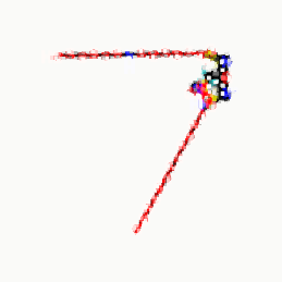 COCCOCCOCCOCCOCCOCCOCCOCCOCCOCCOCCOCCNS(=O)(=O)C1=CC2C(S1)c1cc3c(cc1=[N+](C)C2(C)C)Oc1cc2c(cc1C=3c1c(C)c(F)c(F)c(SCC(=O)ON3C(=O)CCC3=O)c1F)C1SC(S(=O)(=O)COCCOCCOCCOCCOCCOCCNCCOCCOCCOCCOCCOCCO)=CC1C(C)(C)N2C